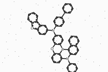 c1ccc(-c2ccc(N(c3ccc4c(c3)Oc3cccc5c3B4c3c(ccc4ccccc34)N5c3ccccc3)c3ccc4oc5ccccc5c4c3)cc2)cc1